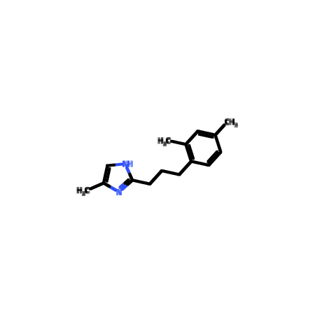 Cc1ccc(CCCc2nc(C)c[nH]2)c(C)c1